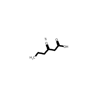 CCCC(=O)CC(=O)O.[Ti]